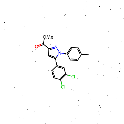 COC(=O)c1cc(-c2ccc(Cl)c(Cl)c2)n(-c2ccc(C)cc2)n1